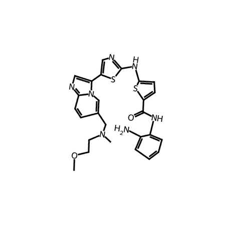 COCCN(C)Cc1ccc2ncc(-c3cnc(Nc4ccc(C(=O)Nc5ccccc5N)s4)s3)n2c1